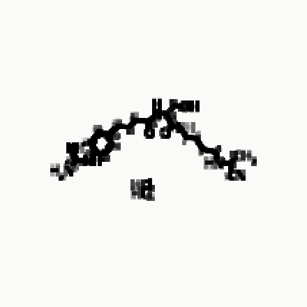 CC(C#N)NCCCCNC(=O)[C@H](CO)NC(=O)CCCc1ccc(NC(=N)N)cc1.Cl.Cl